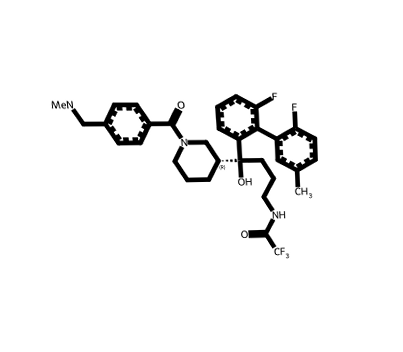 CNCc1ccc(C(=O)N2CCC[C@@H](C(O)(CCCNC(=O)C(F)(F)F)c3cccc(F)c3-c3cc(C)ccc3F)C2)cc1